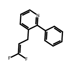 FC(F)=CCc1cccnc1-c1ccccc1